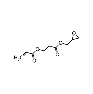 C=CC(=O)OCCC(=O)OCC1CO1